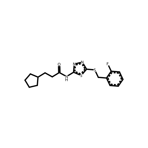 O=C(CCC1CCCC1)Nc1nnc(SCc2ccccc2F)s1